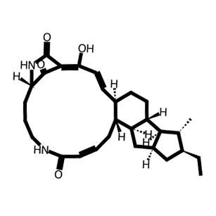 CC[C@H]1C[C@H]2C[C@@H]3[C@H](CC[C@@H]4/C=C/C(O)=C5/C(=O)N[C@@H](CCCNC(=O)/C=C\C[C@@H]34)C5=O)[C@H]2[C@@H]1C